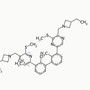 C=C(CN1CC(CC)C1)/C(=N\C(=C/C)c1cccc(-c2cccc(-c3cnc(CN4CC(CC)C4)c(SC)n3)c2C)c1Cl)SC